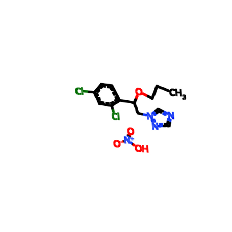 CCCOC(Cn1cncn1)c1ccc(Cl)cc1Cl.O=[N+]([O-])O